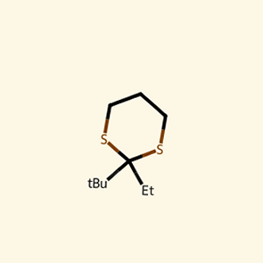 CCC1(C(C)(C)C)SCCCS1